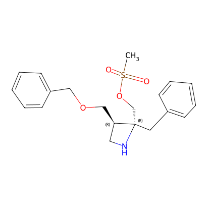 CS(=O)(=O)OC[C@]1(Cc2ccccc2)NC[C@H]1COCc1ccccc1